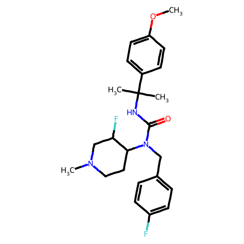 COc1ccc(C(C)(C)NC(=O)N(Cc2ccc(F)cc2)C2CCN(C)CC2F)cc1